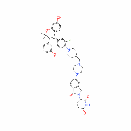 COc1cccc(C2[C@H](c3ccc(N4CCC(CN5CCN(c6ccc7c(c6)CN(C6CCC(=O)NC6=O)C7=O)CC5)CC4)c(F)c3)c3ccc(O)cc3OC2(C)C)c1